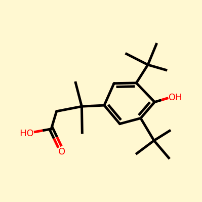 CC(C)(C)c1cc(C(C)(C)CC(=O)O)cc(C(C)(C)C)c1O